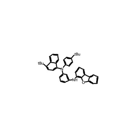 CC(C)(C)c1ccc(N(c2cccc(Nc3cccc4c3oc3ccccc34)c2)c2ccc(C(C)(C)C)c3ccccc23)cc1